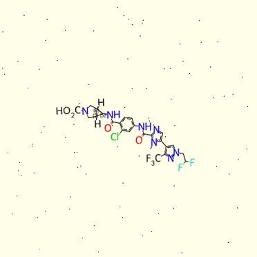 Cn1c(-c2cn(CC(F)F)nc2C(F)(F)F)cnc1C(=O)Nc1ccc(C(=O)N[C@H]2[C@@H]3CN(C(=O)O)C[C@@H]32)c(Cl)c1